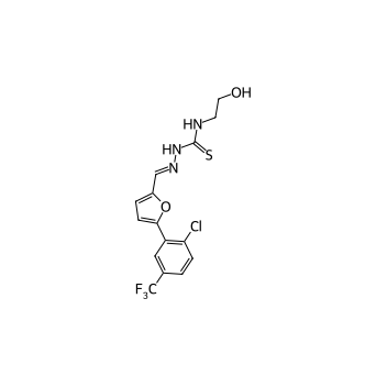 OCCNC(=S)NN=Cc1ccc(-c2cc(C(F)(F)F)ccc2Cl)o1